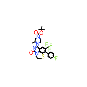 CC1CN(C(=O)OC(C)(C)C)CCN1c1nc(=O)n2c3c(c(-c4ccc(F)cc4)c(C(F)(F)F)cc13)SCCC2